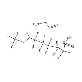 C=CCN.O=S(=O)(O)C(F)(F)C(F)(F)C(F)(F)C(F)(F)C(F)(F)C(F)CC(F)(F)F